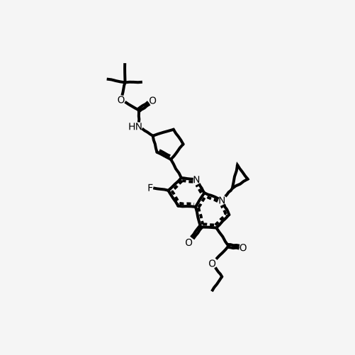 CCOC(=O)c1cn(C2CC2)c2nc(C3=CC(NC(=O)OC(C)(C)C)CC3)c(F)cc2c1=O